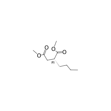 CCCC[C@H](CC(=O)OC)C(=O)OC